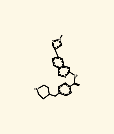 C=C(Nc1cc2cc(-c3cnn(C)c3)ccc2cn1)c1ccc(CC2CCNCC2)cc1